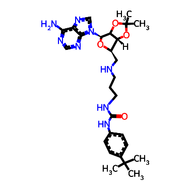 CC1(C)OC2[C@H](n3cnc4c(N)ncnc43)O[C@H](CNCCCNC(=O)Nc3ccc(C(C)(C)C)cc3)[C@H]2O1